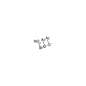 CC(=O)[O-].CC(=O)[O-].O=[N+]([O-])[Bi+2]